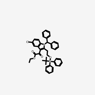 CCOC(=O)C(=O)c1c(CCO[Si](c2ccccc2)(c2ccccc2)C(C)(C)C)n(C(c2ccccc2)c2ccccc2)c2ccc(Cl)cc12